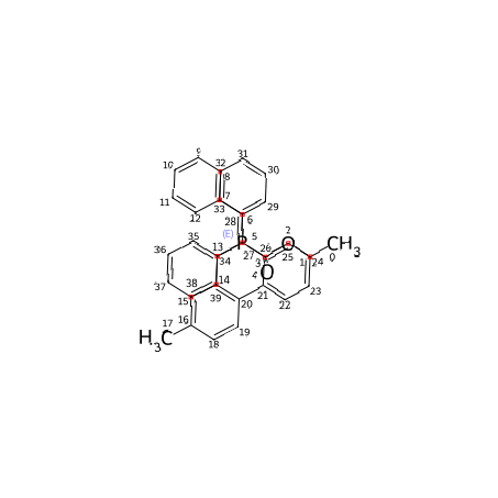 CCOC(=O)/C(=C/c1ccccc1)Cc1cc(C)ccc1-c1ccccc1P(c1ccccc1)c1ccccc1